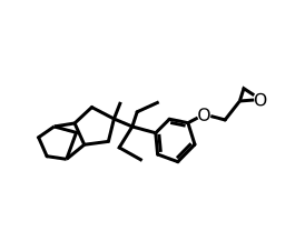 CCC(CC)(c1cccc(OCC2CO2)c1)C1(C)CC2C3CCC(C3)C2C1